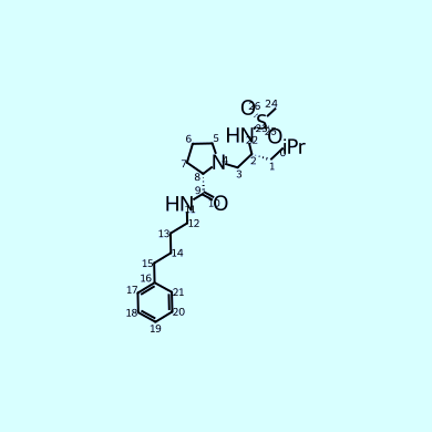 CC(C)C[C@H](CN1CCC[C@H]1C(=O)NCCCCc1ccccc1)NS(C)(=O)=O